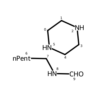 C1CNCCN1.CCCCCCNC=O